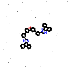 c1cc(-c2ccc3oc4ccc(-c5cccc(-c6cnc7c8ccccc8c8ccccc8c7n6)c5)cc4c3c2)cc(-c2cnc3c4ccccc4c4ccccc4c3n2)c1